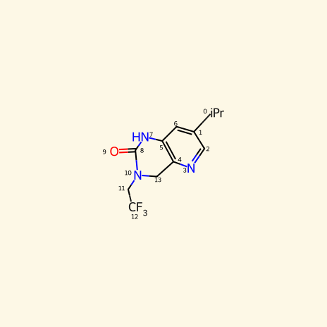 CC(C)c1cnc2c(c1)NC(=O)N(CC(F)(F)F)C2